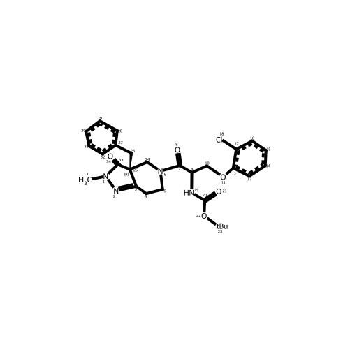 CN1N=C2CCN(C(=O)C(COc3ccccc3Cl)NC(=O)OC(C)(C)C)C[C@@]2(Cc2ccccc2)C1=O